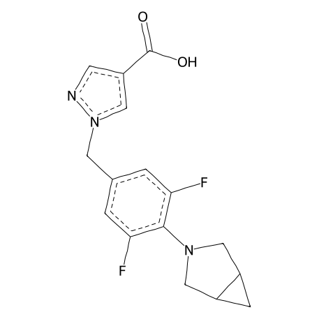 O=C(O)c1cnn(Cc2cc(F)c(N3CC4CC4C3)c(F)c2)c1